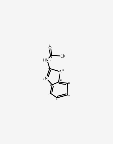 O=C(Cl)Nc1nc2ccccc2s1